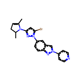 CC1=CCC(C)N1c1cc(Br)n(-c2ccc3nn(-c4ccncc4)cc3c2)n1